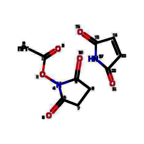 CCCC(=O)ON1C(=O)CCC1=O.O=C1C=CC(=O)N1